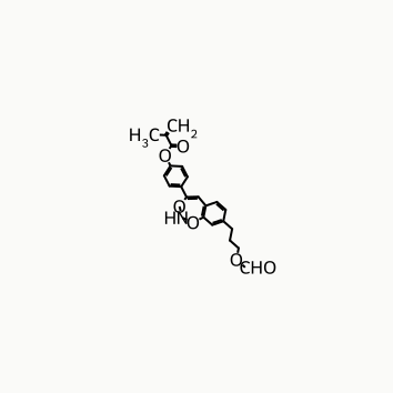 C=C(C)C(=O)Oc1ccc(-c2cc3ccc(CCCOC=O)cc3o[nH]o2)cc1